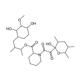 COC1C(O)CCC(CC(C)C(C)OC(=O)C2CCCCN2C(=O)C(=O)C2(O)OC(C)C(C)CC2C)C1O